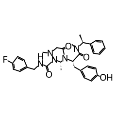 C[C@@H](c1ccccc1)N(C)C(=O)[C@H](Cc1ccc(O)cc1)N1C(=O)CN(C)N(C(=O)NCc2ccc(F)cc2)[C@H]1C